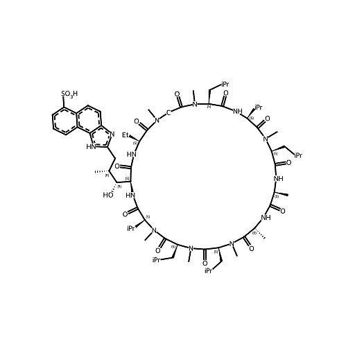 CC[C@@H]1NC(=O)[C@H]([C@H](O)[C@H](C)Cc2nc3ccc4c(S(=O)(=O)O)cccc4c3[nH]2)NC(=O)[C@H](C(C)C)N(C)C(=O)[C@H](CC(C)C)N(C)C(=O)[C@H](CC(C)C)N(C)C(=O)[C@@H](C)NC(=O)[C@H](C)NC(=O)[C@H](CC(C)C)N(C)C(=O)[C@H](C(C)C)NC(=O)[C@H](CC(C)C)N(C)C(=O)CN(C)C1=O